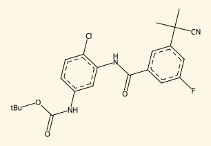 CC(C)(C)OC(=O)Nc1ccc(Cl)c(NC(=O)c2cc(F)cc(C(C)(C)C#N)c2)c1